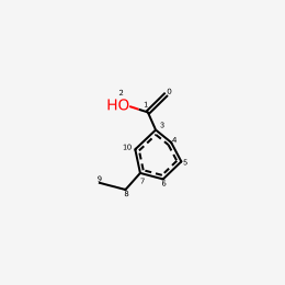 C=C(O)c1cccc(CC)c1